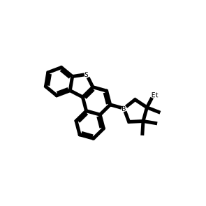 CCC1(C)CB(c2cc3sc4ccccc4c3c3ccccc23)CC1(C)C